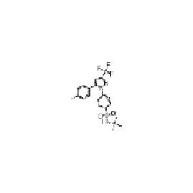 Cc1ccc(-c2cc(C(F)(F)F)nn2-c2ccc(S(=O)(=O)NC(C)(C)C)cc2)cc1